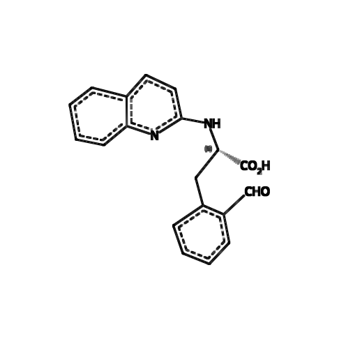 O=Cc1ccccc1C[C@H](Nc1ccc2ccccc2n1)C(=O)O